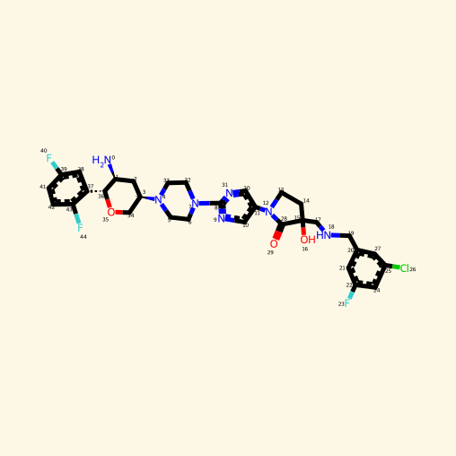 N[C@H]1C[C@@H](N2CCN(c3ncc(N4CCC(O)(CNCc5cc(F)cc(Cl)c5)C4=O)cn3)CC2)CO[C@@H]1c1cc(F)ccc1F